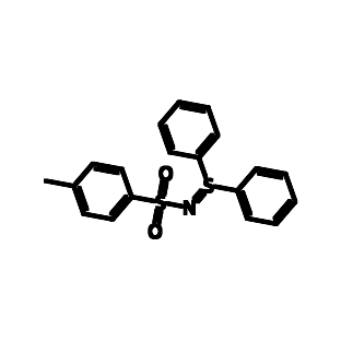 Cc1ccc(S(=O)(=O)N=S(c2ccccc2)c2ccccc2)cc1